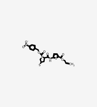 C=CCOC(=O)c1ccc(NC(=O)C2CC([S])CN2C(=O)OCc2ccc([N+](=O)[O-])cc2)s1